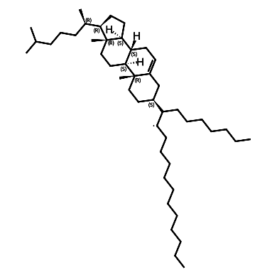 CCCCCCCCCCC[CH]C(CCCCCCC)[C@H]1CC[C@@]2(C)C(=CC[C@H]3[C@@H]4CC[C@H]([C@H](C)CCCC(C)C)[C@@]4(C)CC[C@@H]32)C1